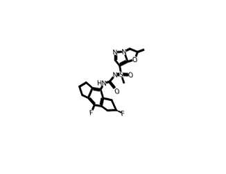 CC1Cn2ncc(S(C)(=O)=NC(=O)Nc3c4c(c(F)c5c3C[C@@H](F)C5)CCC4)c2O1